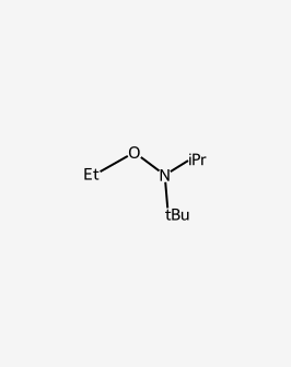 CCON(C(C)C)C(C)(C)C